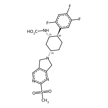 CS(=O)(=O)c1ncc2c(n1)CN([C@H]1CC[C@H](c3cc(F)c(F)cc3F)[C@@H](NC(=O)O)C1)C2